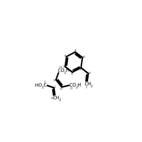 C=CC(=O)O.C=Cc1ccccc1.O=C(O)/C=C\C(=O)O